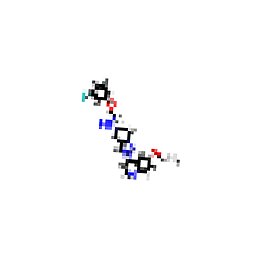 COc1ccc2nccc(-n3cc4c(n3)CCC(NCCOc3cc(F)cc(F)c3)C4)c2c1